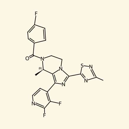 Cc1nsc(-c2nc(-c3ccnc(F)c3F)c3n2CCN(C(=O)c2ccc(F)cc2)[C@@H]3C)n1